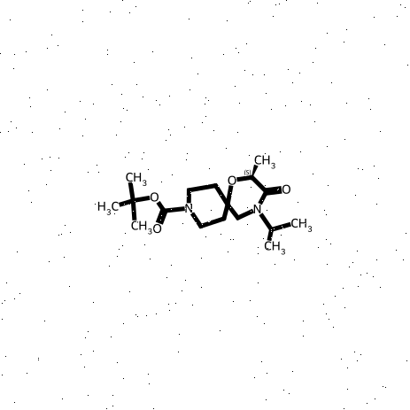 CC(C)N1CC2(CCN(C(=O)OC(C)(C)C)CC2)O[C@@H](C)C1=O